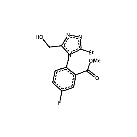 CCc1nnc(CO)n1-c1ccc(F)cc1C(=O)OC